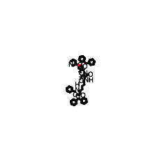 O=C(CCCC(NC(=O)c1ccccc1)C(=O)OC(c1ccccc1)c1ccccc1)NC1C(=O)N2CC(C=Cc3cccnc3)(C(=O)OC(c3ccccc3)c3ccccc3)CS[C@H]12